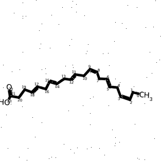 CC/C=C\C/C=C/C/C=C\C/C=C/C/C=C/C/C=C/CCC(=O)O